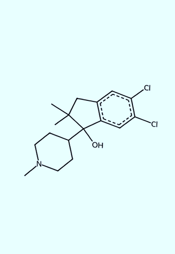 CN1CCC(C2(O)c3cc(Cl)c(Cl)cc3CC2(C)C)CC1